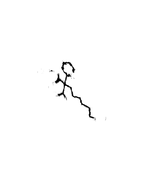 CC(C)(C)OC(=O)C(CCCCCCO)(c1ccccn1)C(F)F